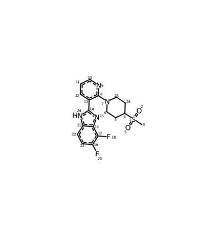 CS(=O)(=O)C1CCN(c2ncccc2-c2nc3c(F)c(F)ccc3[nH]2)CC1